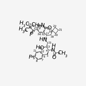 CC(=O)N[C@@H](Cc1ccc(F)cc1)[C@@H](O)CN[C@H]1CC2(CCC2)Oc2ncc([C@@H](F)C(C)(C)C)cc21